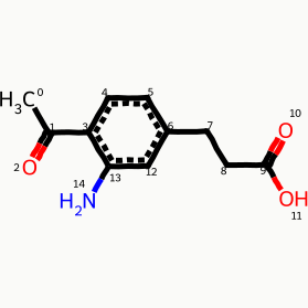 CC(=O)c1ccc(CCC(=O)O)cc1N